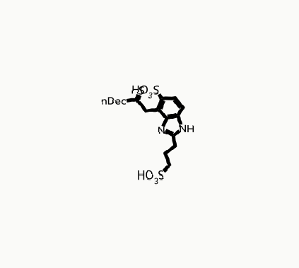 CCCCCCCCCCC(=S)Cc1c(S(=O)(=O)O)ccc2[nH]c(CCCS(=O)(=O)O)nc12